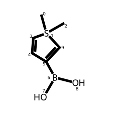 CS1(C)C=CC(B(O)O)=C1